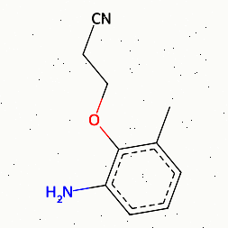 Cc1cccc(N)c1OCCC#N